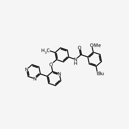 COc1ccc(C(C)(C)C)cc1C(=O)Nc1ccc(C)c(Oc2ncccc2-c2ccncn2)c1